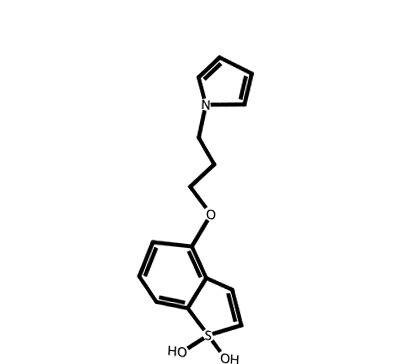 OS1(O)C=Cc2c(OCCCn3cccc3)cccc21